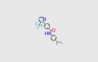 CCC(C)c1ccc(NC(=O)c2ccc(-c3ncccc3C(F)(F)F)cc2)cc1